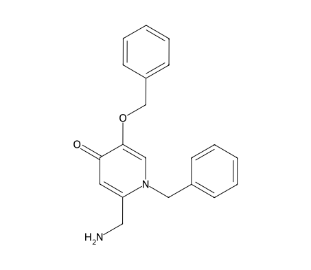 NCc1cc(=O)c(OCc2ccccc2)cn1Cc1ccccc1